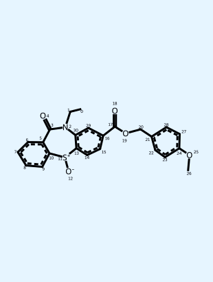 CCN1C(=O)c2ccccc2[S+]([O-])c2ccc(C(=O)OCc3ccc(OC)cc3)cc21